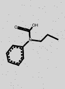 CCCN(C(=O)O)c1ccccc1